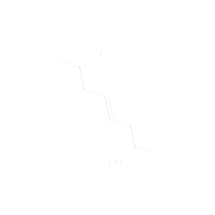 CC(O)C/C=C/CC(C)O